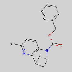 N#Cc1ccc2c(n1)C1CC(C1)N2C(=O)OCc1ccccc1